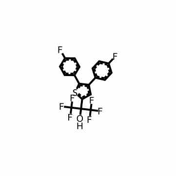 OC(c1cc(-c2ccc(F)cc2)c(-c2ccc(F)cc2)s1)(C(F)(F)F)C(F)(F)F